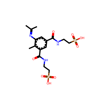 CC(C)=Nc1cc(C(=O)NCCS(=O)(=O)O)cc(C(=O)NCCS(=O)(=O)O)c1C